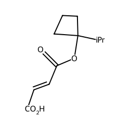 CC(C)C1(OC(=O)C=CC(=O)O)CCC1